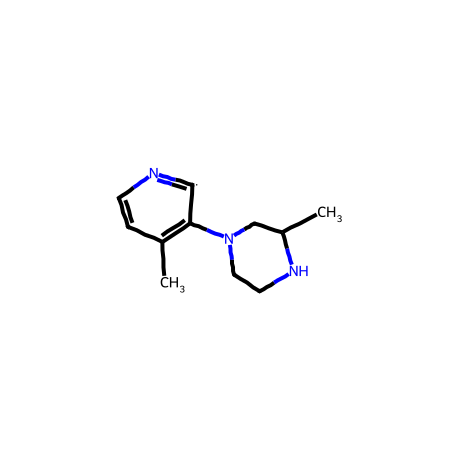 Cc1ccn[c]c1N1CCNC(C)C1